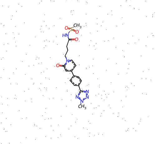 Cn1nnc(-c2ccc(-c3ccn(CCCC(=O)NS(C)(=O)=O)c(=O)c3)cc2)n1